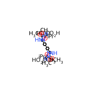 CC(C)[C@@H](C(=O)N1CC2(C[C@H]1c1nc(-c3ccc(-c4ccc(-c5c[nH]c([C@@H]6CC7(CN6C(=O)[C@H](C(C)C)N(C)C(=O)O)O[C@@H](C)C[C@H](C)O7)n5)cc4)cc3)c[nH]1)O[C@@H](C)C[C@H](C)O2)N(C)C(=O)O